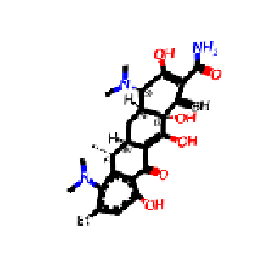 B=C1C(C(N)=O)=C(O)[C@@H](N(C)C)[C@@H]2C[C@H]3C(=C(O)[C@]12O)C(=O)c1c(O)cc(CC)c(N(C)C)c1[C@@H]3C